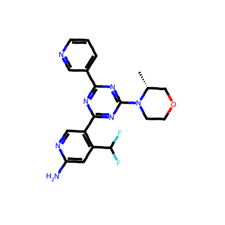 C[C@@H]1COCCN1c1nc(-c2cccnc2)nc(-c2cnc(N)cc2C(F)F)n1